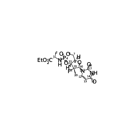 CCOC(=O)[C@H](C)N[P@@]1(=O)OC[C@H]2O[C@@H](n3ccc(=O)[nH]c3=O)[C@](C)(F)[C@@H]2O1